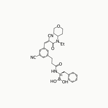 CCN(C(=O)C(C#N)=Cc1cc(C#N)cc(CCC(=O)N[C@@H](Cc2ccccc2)B(O)O)c1)C1CCOCC1